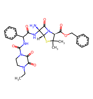 CCN1CCN(C(=O)NC(C(=O)N[C@]2(N)C(=O)N3[C@@H](C(=O)OCc4ccccc4)C(C)(C)S[C@@H]32)c2ccccc2)C(=O)C1=O